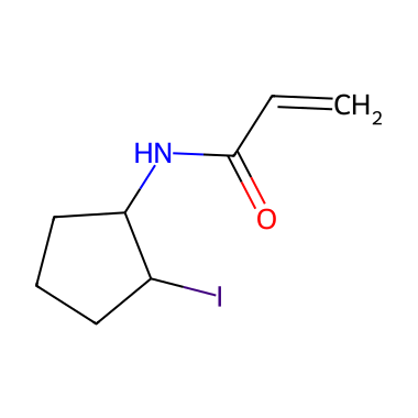 C=CC(=O)NC1CCCC1I